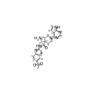 CS(=O)(=O)c1ccc2nc(NC(=O)C3(CN)CCN(c4ncnc5[nH]ccc45)CC3)sc2c1